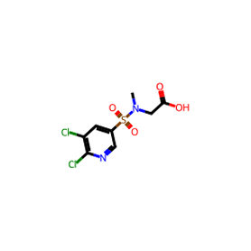 CN(CC(=O)O)S(=O)(=O)c1cnc(Cl)c(Cl)c1